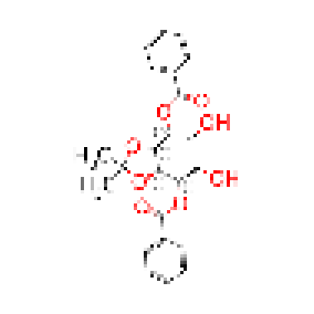 CC1(C)O[C@H]([C@@H](CO)OC(=O)c2ccccc2)[C@@H]([C@@H](CO)OC(=O)c2ccccc2)O1